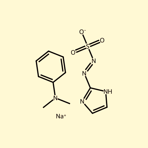 CN(C)c1ccccc1.O=S(=O)([O-])N=Nc1ncc[nH]1.[Na+]